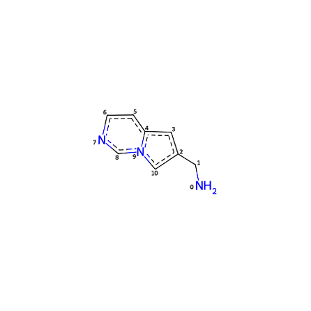 NCc1cc2ccncn2c1